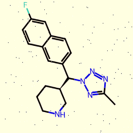 Cc1nnn(C(c2ccc3cc(F)ccc3c2)[C@@H]2CCCNC2)n1